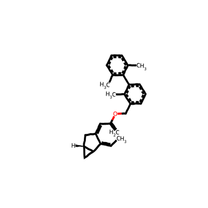 C=C(/C=C1/C[C@H]2CC2/C1=C/C)OCc1cccc(-c2c(C)cccc2C)c1C